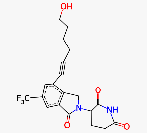 O=C1CCC(N2Cc3c(C#CCCCCO)cc(C(F)(F)F)cc3C2=O)C(=O)N1